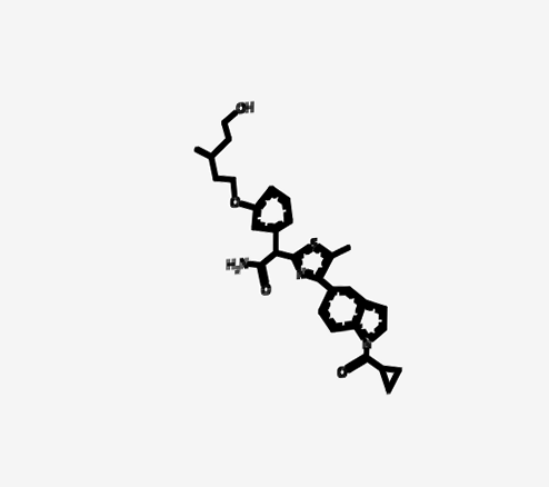 Cc1sc(C(C(N)=O)c2cccc(OCCC(C)CCO)c2)nc1-c1ccc2c(ccn2C(=O)C2CC2)c1